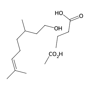 CC(=O)O.CC(C)=CCCC(C)CCO.CCCC(=O)O